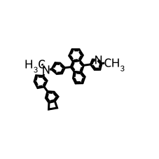 Cc1ccc(-c2c3ccccc3c(-c3ccc(N(C)c4cccc(-c5ccc6c(c5)CC6)c4)cc3)c3ccccc23)cn1